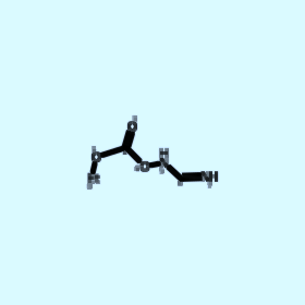 CCOC(=O)ON[C]=N